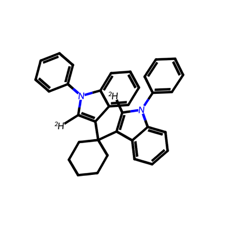 [2H]c1c(C2(c3c([2H])n(-c4ccccc4)c4ccccc34)CCCCC2)c2ccccc2n1-c1ccccc1